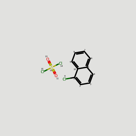 Clc1cccc2ccccc12.O=S(=O)(Cl)Cl